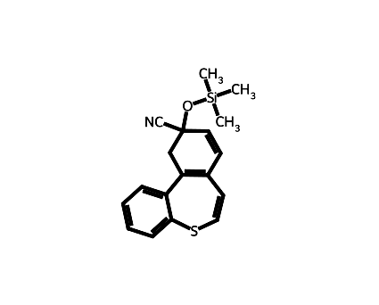 C[Si](C)(C)OC1(C#N)C=CC2=C(C1)c1ccccc1SC=C2